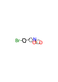 O=S1(=NC2CC=C(c3ccc(Br)cc3)CC2)CCOCC1